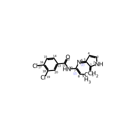 C=C1NC=C/C1=N/C(=C\C)NC(=O)c1ccc(Cl)c(Cl)c1